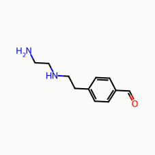 NCCNCCc1ccc(C=O)cc1